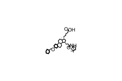 Cc1cnc(NC(=O)CC[C@@H]2C[C@H](CCCCC(=O)O)[C@]3(C)CCC4c5ccc(OCc6ccccc6)cc5CCC4C23)s1